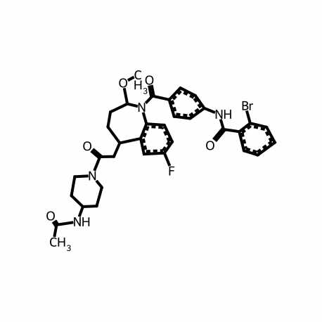 COC1CCC(CC(=O)N2CCC(NC(C)=O)CC2)c2cc(F)ccc2N1C(=O)c1ccc(NC(=O)c2ccccc2Br)cc1